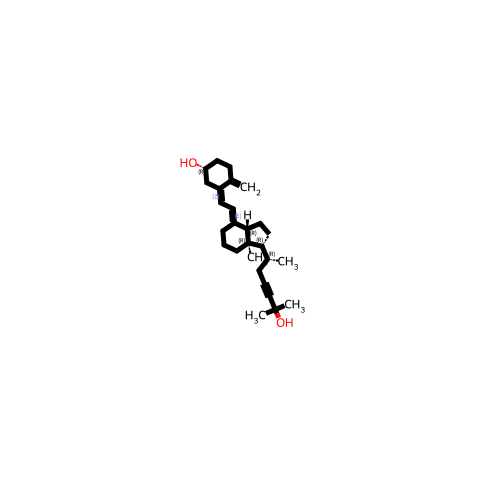 C=C1CC[C@@H](O)C/C1=C/C=C1\CCC[C@]2(C)[C@@H]([C@H](C)CC#CC(C)(C)O)CC[C@@H]12